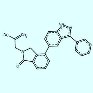 C=C(C#N)CN1Cc2c(cccc2-c2ccc3[nH]nc(-c4ccccc4)c3c2)C1=O